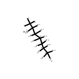 CC(C)(C)C(N)(F)C(F)(F)C(F)(F)C(F)(F)C(F)(F)C(F)(F)F